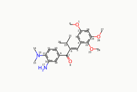 COc1cc(/C=C(/C(=O)c2ccc(N(C)C)c(N)c2)C(C)C)c(OC)c(OC)c1